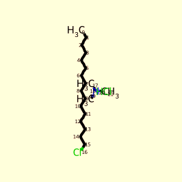 CCCCCCCCCCCCCCCCCl.CN(C)C.Cl